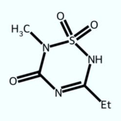 CCC1=NC(=O)N(C)S(=O)(=O)N1